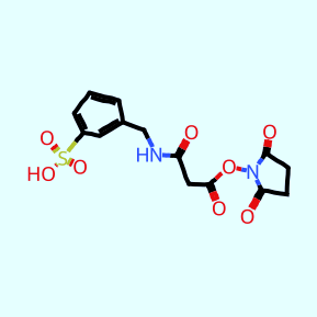 O=C(CC(=O)ON1C(=O)CCC1=O)NCc1cccc(S(=O)(=O)O)c1